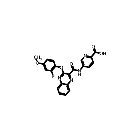 COc1ccc(Oc2nc3ccccc3nc2C(=O)Nc2ccc(C(=O)O)nc2)c(F)c1